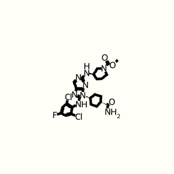 COC(=O)N1CCC[C@@H](Nc2ncc3nc(Nc4c(Cl)cc(F)cc4Cl)n([C@H]4CC[C@@H](C(N)=O)CC4)c3n2)C1